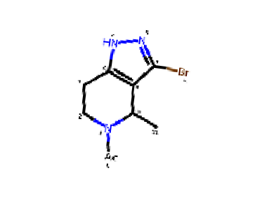 CC(=O)N1CCc2[nH]nc(Br)c2C1C